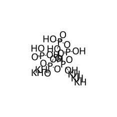 O=P(O)(O)OP(=O)(O)OP(=O)(O)OP(=O)(O)OP(=O)(O)O.[KH].[KH].[KH].[KH].[KH]